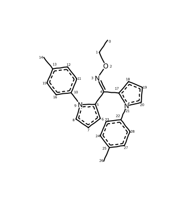 CCON=C(c1cccn1-c1ccc(C)cc1)c1cccn1-c1ccc(C)cc1